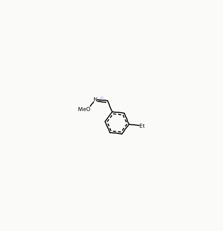 CCc1cccc(/C=N\OC)c1